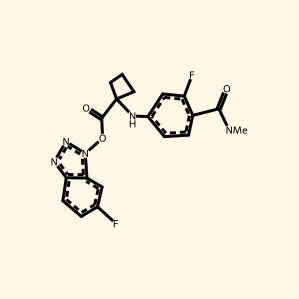 CNC(=O)c1ccc(NC2(C(=O)On3nnc4ccc(F)cc43)CCC2)cc1F